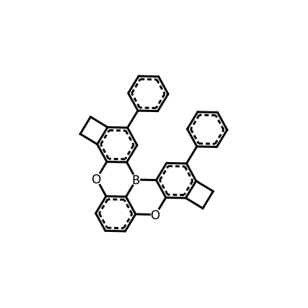 c1ccc(-c2cc3c(c4c2CC4)Oc2cccc4c2B3c2cc(-c3ccccc3)c3c(c2O4)CC3)cc1